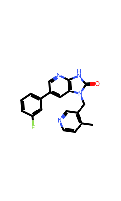 Cc1ccncc1Cn1c(=O)[nH]c2ncc(-c3cccc(F)c3)cc21